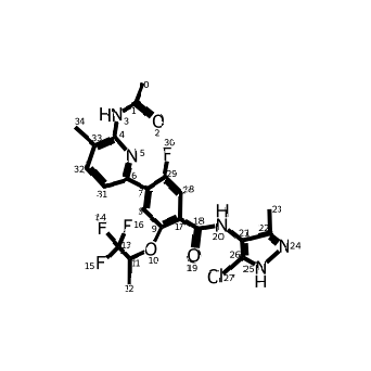 CC(=O)Nc1nc(-c2cc(OC(C)C(F)(F)F)c(C(=O)Nc3c(C)n[nH]c3Cl)cc2F)ccc1C